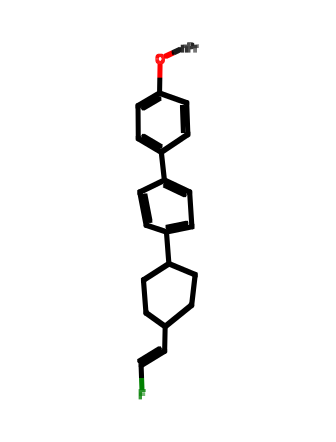 CCCOc1ccc(-c2ccc(C3CCC(C=CF)CC3)cc2)cc1